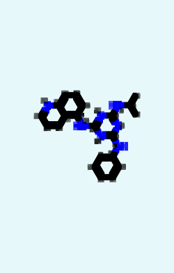 CC(C)Nc1nc(Nc2ccccc2)nc(Nc2cccc3ncccc23)n1